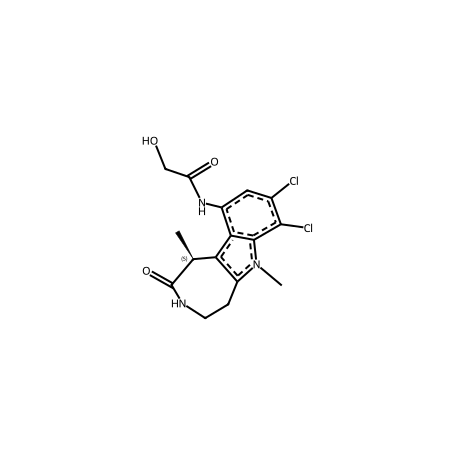 C[C@@H]1C(=O)NCCc2c1c1c(NC(=O)CO)cc(Cl)c(Cl)c1n2C